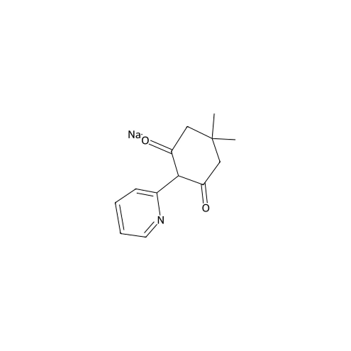 CC1(C)CC(=O)C(c2ccccn2)C(=O)C1.[Na]